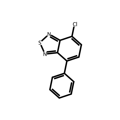 Clc1ccc(-c2ccccc2)c2nsnc12